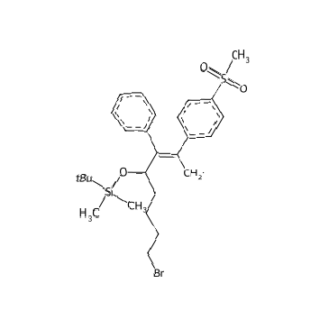 [CH2]/C(=C(/c1ccccc1)C(CCCCBr)O[Si](C)(C)C(C)(C)C)c1ccc(S(C)(=O)=O)cc1